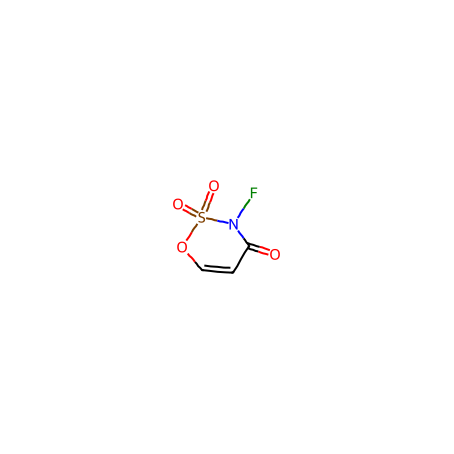 O=C1C=COS(=O)(=O)N1F